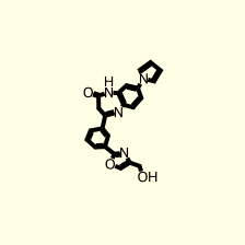 O=C1CC(c2cccc(-c3nc(CO)co3)c2)=Nc2ccc(-n3cccc3)cc2N1